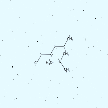 CCCCCCl.CN(C)C